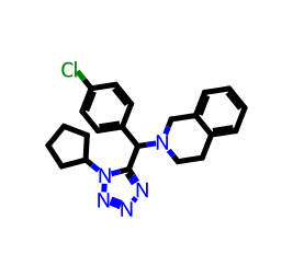 Clc1ccc(C(c2nnnn2C2CCCC2)N2CCc3ccccc3C2)cc1